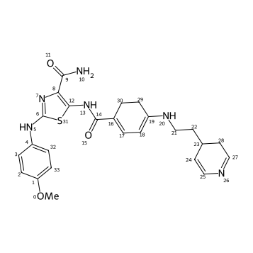 COc1ccc(Nc2nc(C(N)=O)c(NC(=O)C3=CC=C(NCCC4C=CN=CC4)CC3)s2)cc1